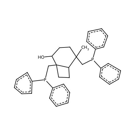 CC1(CP(c2ccccc2)c2ccccc2)CCC(O)C2(CP(c3ccccc3)c3ccccc3)CCC12